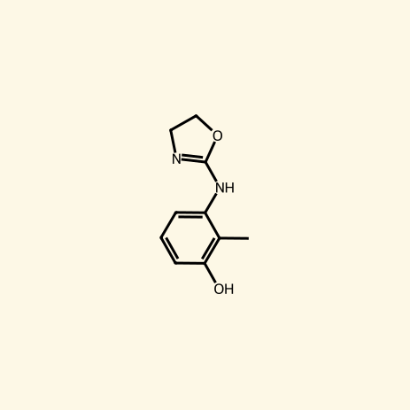 Cc1c(O)cccc1NC1=NCCO1